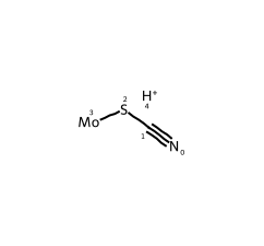 N#C[S][Mo].[H+]